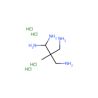 CC(CN)(CN)C(N)N.Cl.Cl.Cl.Cl